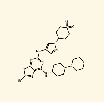 CCc1nc2c(N[C@H]3CC[C@H](N4CCOCC4)CC3)nc(Nc3cnn(C4CCS(=O)(=O)CC4)c3)nc2s1